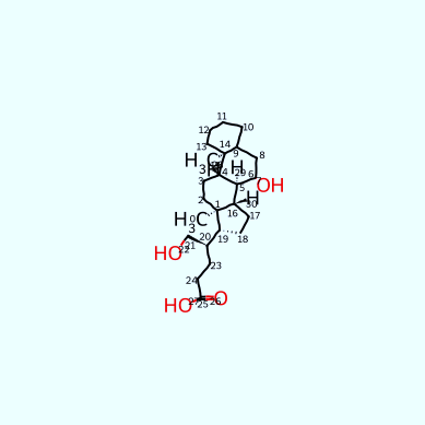 C[C@]12CC[C@H]3[C@@H](C(O)CC4CCCC[C@@]43C)[C@@H]1CC[C@@H]2[C@H](CO)CCC(=O)O